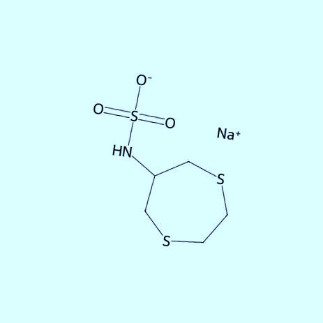 O=S(=O)([O-])NC1CSCCSC1.[Na+]